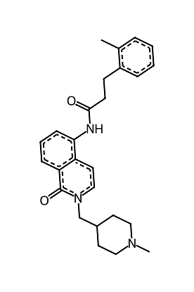 Cc1ccccc1CCC(=O)Nc1cccc2c(=O)n(CC3CCN(C)CC3)ccc12